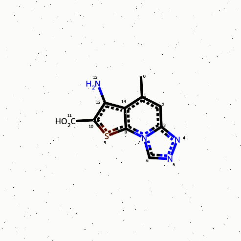 Cc1cc2nncn2c2sc(C(=O)O)c(N)c12